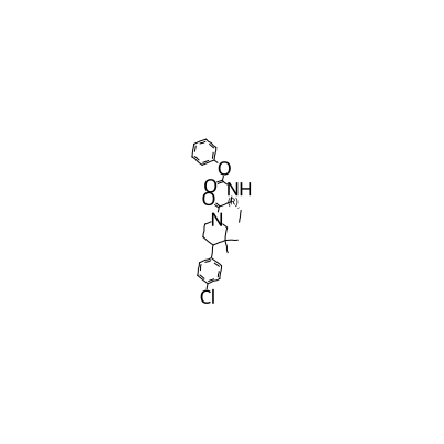 CC[C@@H](NC(=O)Oc1ccccc1)C(=O)N1CCC(c2ccc(Cl)cc2)C(C)(C)C1